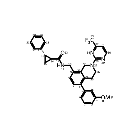 COc1cccc(-c2ccc(CNC(=O)C3C[C@@H]3c3ccccc3)c3c2CCN(c2nccc(C(F)(F)F)n2)C3)c1